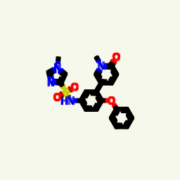 Cn1cnc(S(=O)(=O)Nc2ccc(Oc3ccccc3)c(-c3ccc(=O)n(C)c3)c2)c1